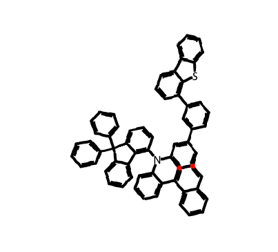 c1ccc(C2(c3ccccc3)c3ccccc3-c3c(N(c4cccc(-c5cccc(-c6cccc7c6sc6ccccc67)c5)c4)c4ccccc4-c4cccc5ccccc45)cccc32)cc1